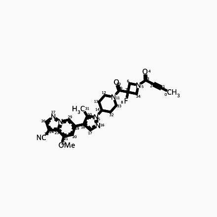 CC#CC(=O)N1CC(F)(C(=O)N2CCC(n3ncc(-c4cc(OC)c5c(C#N)cnn5c4)c3C)CC2)C1